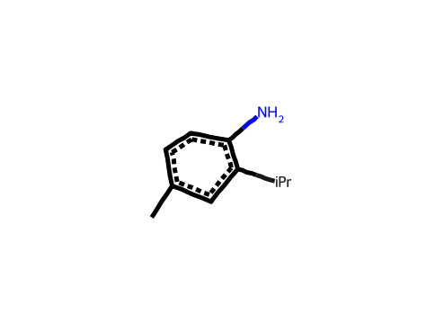 Cc1ccc(N)c(C(C)C)c1